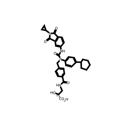 O=C(NC[C@@H](O)C(=O)O)c1ccc(CN(C(=O)Nc2ccc3c(c2)C(=O)N(C2CC2)C3=O)c2ccc(C3CCCCC3)cc2)cc1